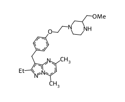 CCc1nn2c(C)cc(C)nc2c1Cc1ccc(OCCN2CCNC(COC)C2)cc1